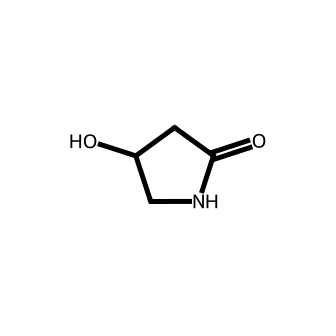 O=C1CC(O)CN1